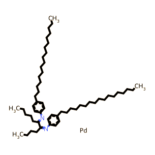 CCCCCCCCCCCCCCCCCc1ccc(N=C(CCCC)C(CCCCC)=Nc2ccc(CCCCCCCCCCCCCCCCC)cc2)cc1.[Pd]